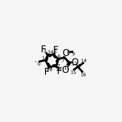 [CH2]c1c(F)c(F)c(C(OC)C(=O)OC(C)(C)C)c(F)c1F